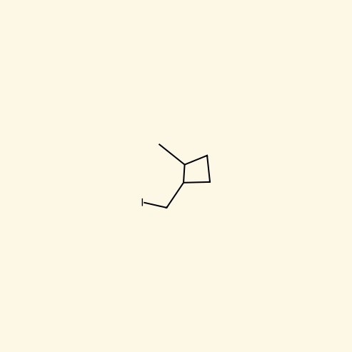 CC1CCC1CI